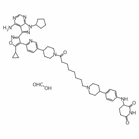 Nc1ncnc2c1c(-c1noc(C3CC3)c1-c1ccc(C3CCN(C(=O)CCCCCCCN4CCC(c5ccc(NC6CCC(=O)NC6=O)cc5)CC4)CC3)cn1)nn2C1CCCC1.O=CO